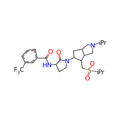 CC(C)N1CC2CC(N3CCC(NC(=O)c4cccc(C(F)(F)F)c4)C3=O)C(CS(=O)(=O)C(C)C)C2C1